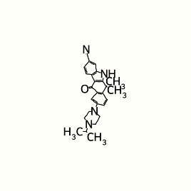 CC(C)N1CCN(c2ccc3c(c2)C(=O)c2c([nH]c4cc(C#N)ccc24)C3(C)C)CC1